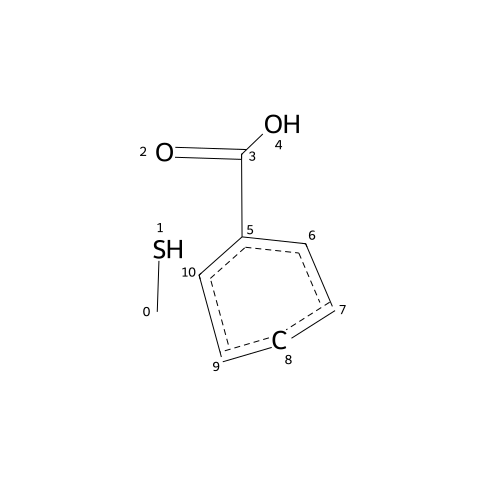 CS.O=C(O)c1ccccc1